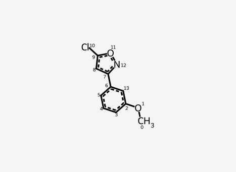 COc1cccc(-c2cc(Cl)on2)c1